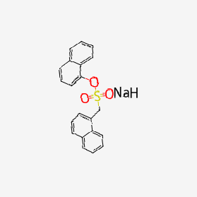 O=S(=O)(Cc1cccc2ccccc12)Oc1cccc2ccccc12.[NaH]